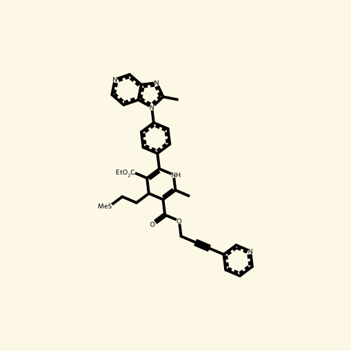 CCOC(=O)C1=C(c2ccc(-n3c(C)nc4cnccc43)cc2)NC(C)=C(C(=O)OCC#Cc2cccnc2)C1CCSC